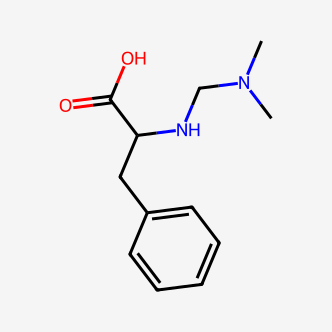 CN(C)CNC(Cc1ccccc1)C(=O)O